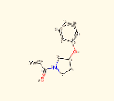 COC(=O)N1CCC(Oc2ccccc2)C1